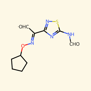 O=[C]/C(=N\OC1CCCC1)c1nsc(NC=O)n1